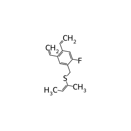 C=Cc1cc(F)c(CS/C(C)=C\C)cc1C=C